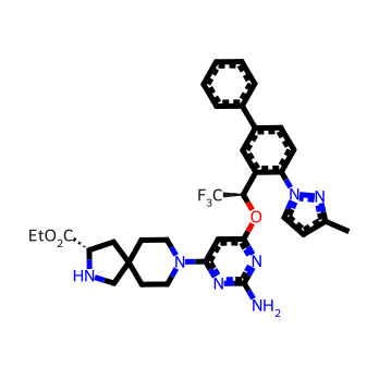 CCOC(=O)[C@@H]1CC2(CCN(c3cc(O[C@H](c4cc(-c5ccccc5)ccc4-n4ccc(C)n4)C(F)(F)F)nc(N)n3)CC2)CN1